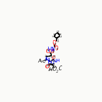 CC(=O)N(CCC(=O)ONC(=O)OCc1ccccc1)N1C(=O)N[C@@H](CC(=O)O)C1=O